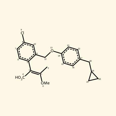 COC(C)=C(C(=O)O)c1ccc(Cl)cc1COc1ccc(CC2CC2)cc1